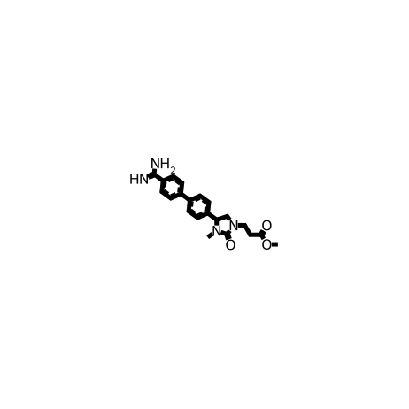 COC(=O)CCN1CC(c2ccc(-c3ccc(C(=N)N)cc3)cc2)N(C)C1=O